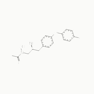 CC(=O)N(O)C[C@@H](N)Cc1ccc(Oc2ccc(Cl)cc2)cc1